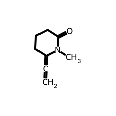 C=C=C1CCCC(=O)N1C